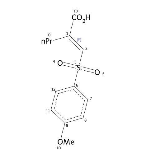 CCC/C(=C\S(=O)(=O)c1ccc(OC)cc1)C(=O)O